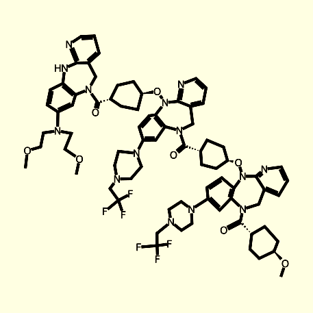 COCCN(CCOC)c1ccc2c(c1)N(C(=O)[C@H]1CC[C@H](ON3c4ccc(N5CCN(CC(F)(F)F)CC5)cc4N(C(=O)[C@H]4CC[C@@H](ON5c6ccc(N7CCN(CC(F)(F)F)CC7)cc6N(C(=O)[C@H]6CC[C@H](OC)CC6)Cc6cccnc65)CC4)Cc4cccnc43)CC1)Cc1cccnc1N2